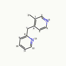 Cc1[c]nccc1Cc1ccccn1